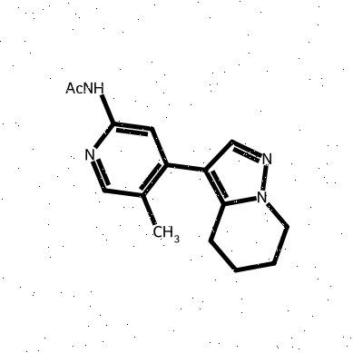 CC(=O)Nc1cc(-c2cnn3c2CCCC3)c(C)cn1